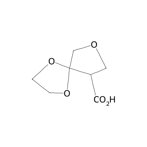 O=C(O)C1COCC12OCCO2